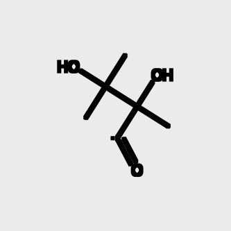 CC(C)(O)C(C)(O)[C]=O